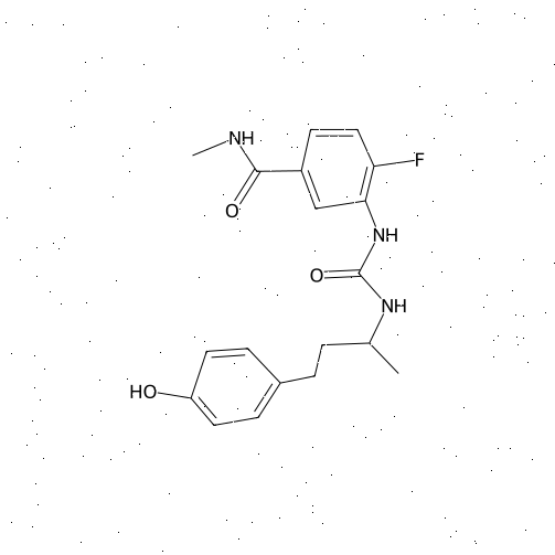 CNC(=O)c1ccc(F)c(NC(=O)NC(C)CCc2ccc(O)cc2)c1